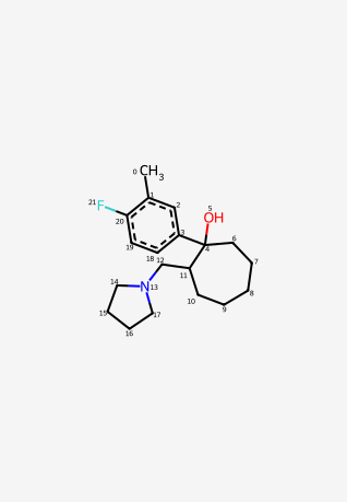 Cc1cc(C2(O)CCCCCC2CN2CCCC2)ccc1F